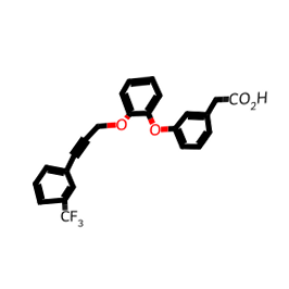 O=C(O)Cc1cccc(Oc2ccccc2OCC#Cc2cccc(C(F)(F)F)c2)c1